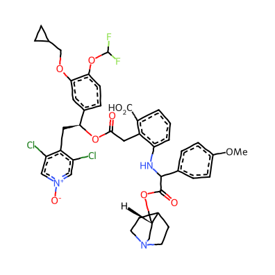 COc1ccc(C(Nc2cccc(C(=O)O)c2CC(=O)O[C@@H](Cc2c(Cl)c[n+]([O-])cc2Cl)c2ccc(OC(F)F)c(OCC3CC3)c2)C(=O)O[C@H]2CN3CCC2CC3)cc1